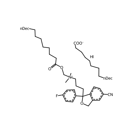 CCCCCCCCCCCCCCCCCC(=O)OC[N+](C)(C)CCCC1(c2ccc(F)cc2)OCc2cc(C#N)ccc21.CCCCCCCCCCCCCCCCCC(=O)[O-].I